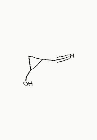 N#CC1CC1O